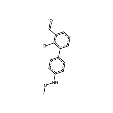 CONc1ccc(-c2cccc(C=O)c2Cl)cc1